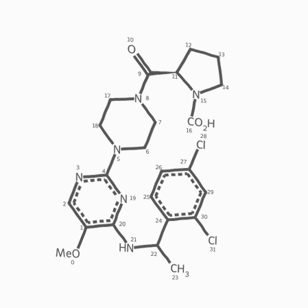 COc1cnc(N2CCN(C(=O)[C@H]3CCCN3C(=O)O)CC2)nc1NC(C)c1ccc(Cl)cc1Cl